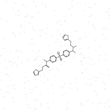 C=C(CCC1=CC=CC1)C(C)c1ccc(S(=O)(=O)c2ccc(C(C)C(C)CCC3=CC=CC3)cc2)cc1